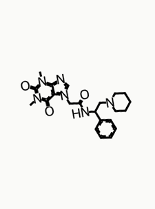 Cn1c(=O)c2c(ncn2CC(=O)NC(CN2CCCCC2)c2ccccc2)n(C)c1=O